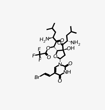 CC(C)C[C@H](N)C(=O)C(OC(=O)C(F)(F)F)[C@H]1O[C@@H](n2cc(/C=C/Br)c(=O)[nH]c2=O)C[C@@]1(O)C(=O)[C@@H](N)CC(C)C